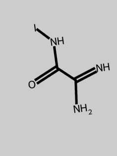 N=C(N)C(=O)NI